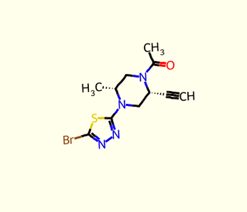 C#C[C@@H]1CN(c2nnc(Br)s2)[C@H](C)CN1C(C)=O